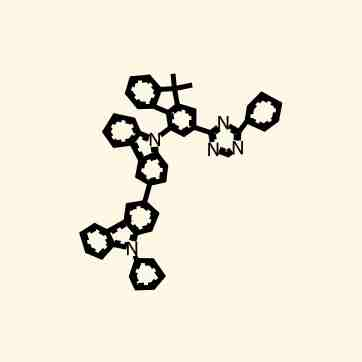 CC1(C)c2ccccc2-c2c(-n3c4ccccc4c4cc(-c5ccc6c(c5)c5ccccc5n6-c5ccccc5)ccc43)cc(-c3ncnc(-c4ccccc4)n3)cc21